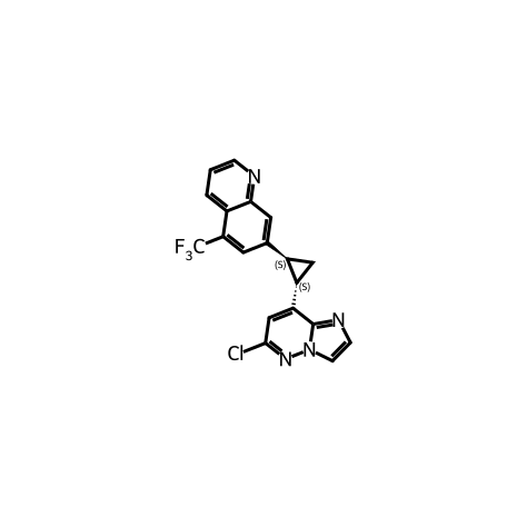 FC(F)(F)c1cc([C@H]2C[C@@H]2c2cc(Cl)nn3ccnc23)cc2ncccc12